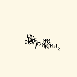 C#C[C@]1(OCP(=O)(OCC)OCC)C[C@@H](n2cnc3c(N)ncnc32)C=C1F